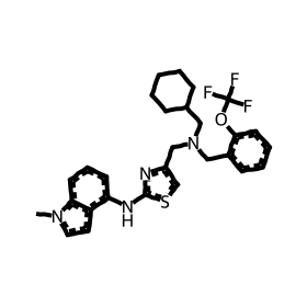 Cn1ccc2c(Nc3nc(CN(Cc4ccccc4OC(F)(F)F)CC4CCCCC4)cs3)cccc21